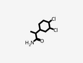 CC(C(N)=O)C1CCC(Cl)C(Cl)C1